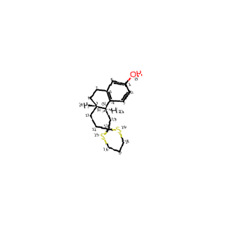 Oc1ccc2c(c1)CC[C@H]1CCC3(C[C@H]21)SCCCS3